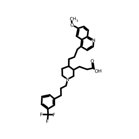 COc1ccc2nccc(CCCC3CCN(CCCc4cccc(C(F)(F)F)c4)CC3CCC(=O)O)c2c1